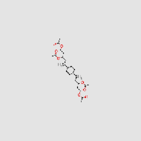 CC(=O)OCCC(C[SiH2]c1ccc([SiH2]CC(CCOC(C)=O)OC(C)=O)cc1)OC(C)=O